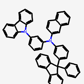 c1ccc(C2(c3cccc(N(c4cccc(-n5c6ccccc6c6ccccc65)c4)c4ccc5ccccc5c4)c3)c3ccccc3-c3ccccc32)cc1